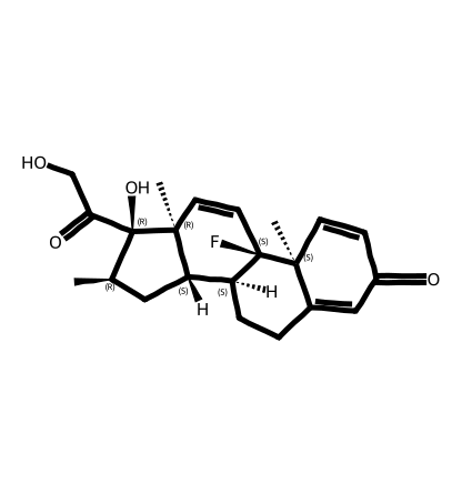 C[C@@H]1C[C@H]2[C@@H]3CCC4=CC(=O)C=C[C@]4(C)[C@@]3(F)C=C[C@]2(C)[C@@]1(O)C(=O)CO